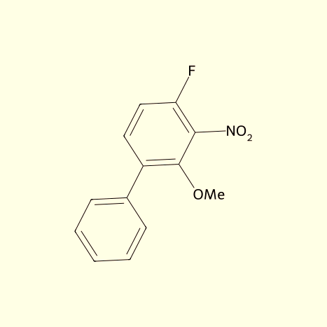 COc1c(-c2ccccc2)ccc(F)c1[N+](=O)[O-]